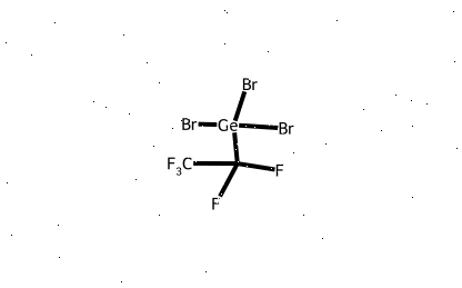 FC(F)(F)[C](F)(F)[Ge]([Br])([Br])[Br]